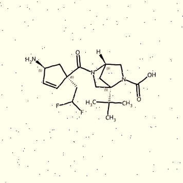 CC(C)(C)[C@]12C[C@@H](CN1C(=O)O)N(C(=O)[C@@]1(CC(F)F)C=C[C@@H](N)C1)C2